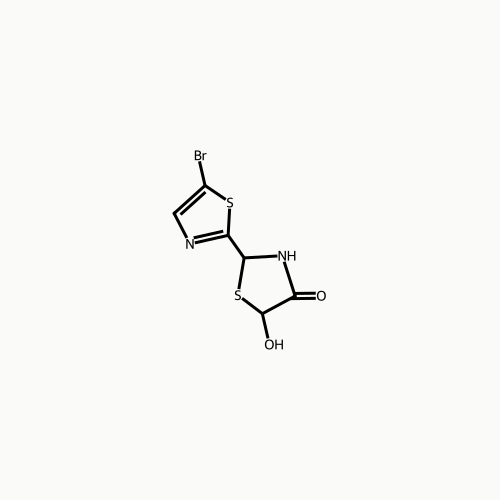 O=C1NC(c2ncc(Br)s2)SC1O